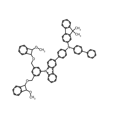 COC1c2ccccc2C1OCc1cc(COC2c3ccccc3C2OC)cc(-n2c3ccccc3c3cc(-c4ccc(N(c5ccc(-c6ccccc6)cc5)c5ccc6c(c5)C(C)(C)c5ccccc5-6)cc4)ccc32)c1